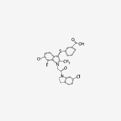 Cc1c(Sc2cccc(C(=O)O)c2)c2ccc(Cl)c(F)c2n1CC(=O)N1CCc2ccc(Cl)cc21